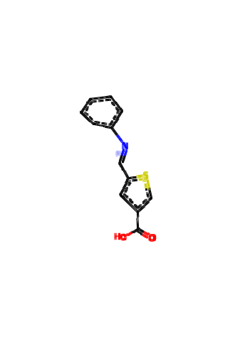 O=C(O)c1csc(/C=N/c2ccccc2)c1